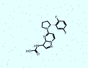 O=C(O)NC1C=NN2C=CC(N3CCC[C@@H]3c3cc(F)ccc3F)=NC12